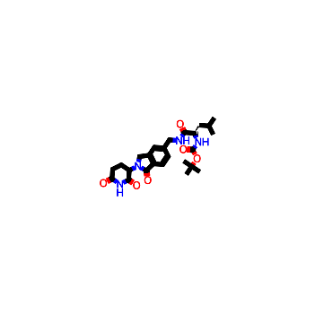 CC(C)C[C@H](NC(=O)OC(C)(C)C)C(=O)NCc1ccc2c(c1)CN(C1CCC(=O)NC1=O)C2=O